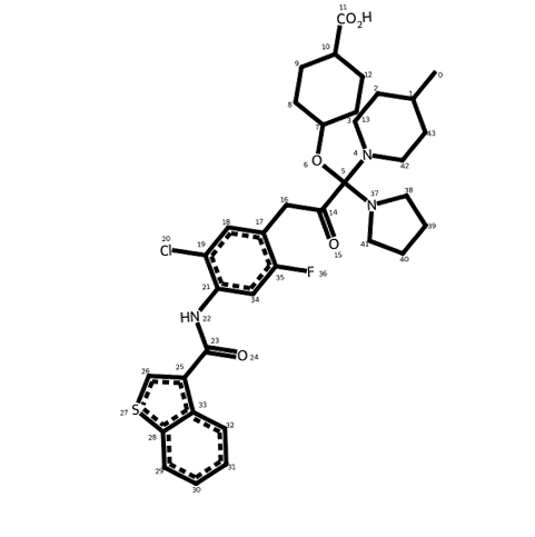 CC1CCN(C(OC2CCC(C(=O)O)CC2)(C(=O)Cc2cc(Cl)c(NC(=O)c3csc4ccccc34)cc2F)N2CCCC2)CC1